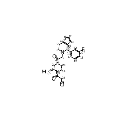 CC1CN(C(=O)CN2CCc3sccc3C2c2cccc(F)c2)CCN1C(=O)CCl